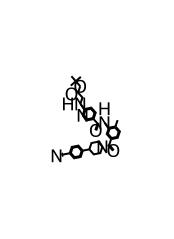 Cc1ccc(C(=O)N2CCC(c3ccc(C#N)cc3)CC2)cc1NC(=O)c1ccc(NCC(=O)OC(C)(C)C)nc1